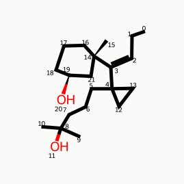 CC/C=C(/C1(CCCC(C)(C)O)CC1)[C@@]1(C)CCC[C@H](O)C1